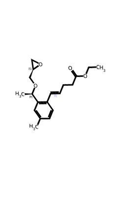 CCOC(=O)CC/C=C/c1ccc(C)cc1[C@@H](C)OC[C@H]1CO1